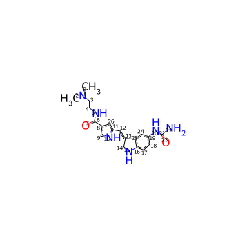 CN(C)CCNC(=O)c1c[nH]c(C=C2CNc3ccc(NC(N)=O)cc32)c1